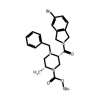 C[C@@H]1CN(Cc2ccccc2)[C@H](C(=O)N2Cc3ccc(Br)cc3C2)CN1C(=O)OC(C)(C)C